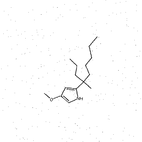 CCCCCC(C)(CCC)c1cc(OC)c[nH]1